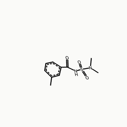 Cc1cccc(C(=O)NS(=O)(=O)N(C)C)c1